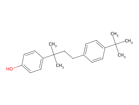 CC(C)(C)c1ccc(CCC(C)(C)c2ccc(O)cc2)cc1